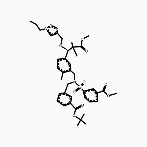 CCCn1cc(CO[C@H](c2ccc(C)c(CN(Cc3cccc(C(=O)OC(C)(C)C)c3)S(=O)(=O)c3cccc(C(=O)OC)c3)c2)C(C)(C)C(=O)OC)nn1